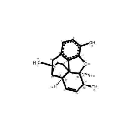 CN1CCC23c4c5ccc(O)c4O[C@H]2[C@@H](O)C=C[C@H]3C1C5